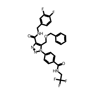 O=C(NCC(F)(F)F)c1ccc(-n2nnc(C(=O)NCc3ccc(F)c(F)c3)c2COCc2ccccc2)cc1